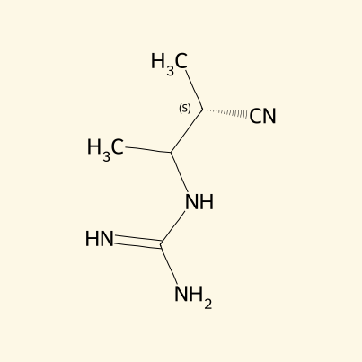 CC(NC(=N)N)[C@H](C)C#N